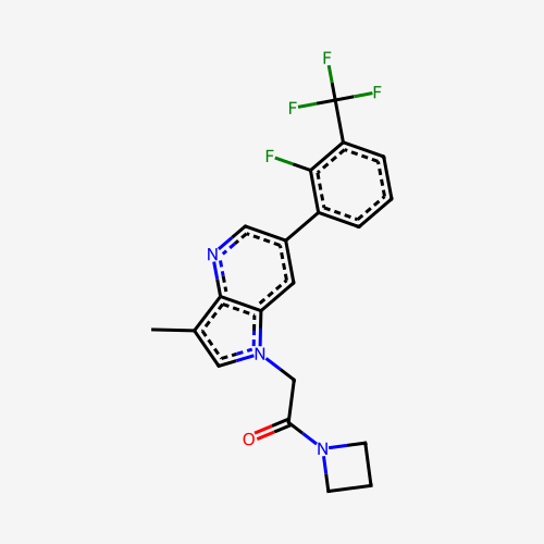 Cc1cn(CC(=O)N2CCC2)c2cc(-c3cccc(C(F)(F)F)c3F)cnc12